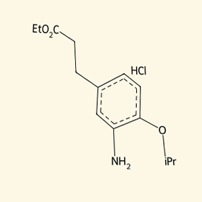 CCOC(=O)CCc1ccc(OC(C)C)c(N)c1.Cl